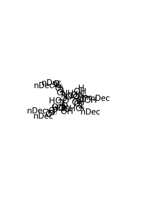 CCCCCCCCCCCC(=O)O[C@H](CCCCCCCCCCC)CC(=O)N[C@@H](C)[C@H](OCC1OC(O)[C@@H](NC(=O)C[C@H](O)CCCCCCCCCCC)C(OC(=O)C[C@H](O)CCCCCCCCCCC)[C@@H]1O)OC(CO)[C@H](COC(=O)C[C@@H](CCCCCCCCCCC)OC(=O)CCCCCCCCCCC)OP(=O)(O)O